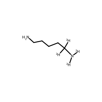 [2H]N([2H])C([2H])([2H])CCCCN